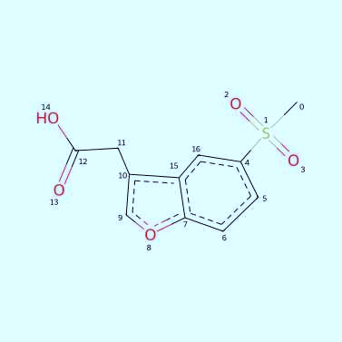 CS(=O)(=O)c1ccc2occ(CC(=O)O)c2c1